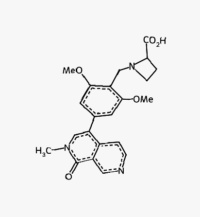 COc1cc(-c2cn(C)c(=O)c3cnccc23)cc(OC)c1CN1CCC1C(=O)O